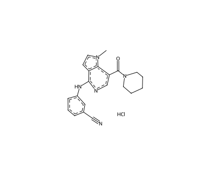 Cl.Cn1ccc2c(Nc3cccc(C#N)c3)ncc(C(=O)N3CCCCC3)c21